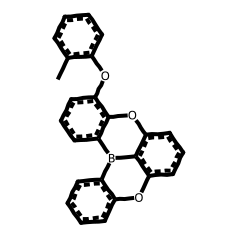 Cc1ccccc1Oc1cccc2c1Oc1cccc3c1B2c1ccccc1O3